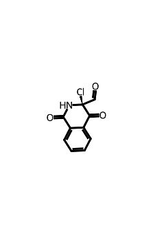 O=C[C@@]1(Cl)NC(=O)c2ccccc2C1=O